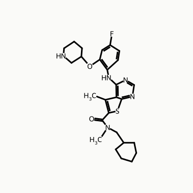 Cc1c(C(=O)N(C)CC2CCCCC2)sc2ncnc(Nc3ccc(F)cc3OC3CCCNC3)c12